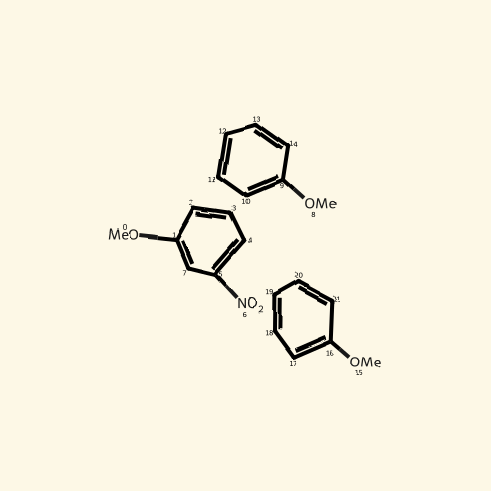 COc1cccc([N+](=O)[O-])c1.COc1ccccc1.COc1ccccc1